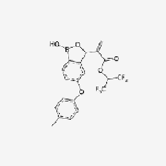 C=C(C(=O)OC(C(F)(F)F)C(F)(F)F)C1OB(O)c2ccc(Oc3ccc(C)cc3)cc21